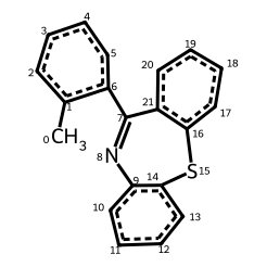 Cc1ccccc1C1=Nc2ccccc2Sc2ccccc21